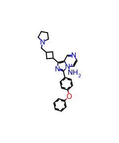 N[N+]12C=CN=CC1=C(C1CC(CN3CCCC3)C1)N=C2c1ccc(Oc2ccccc2)cc1